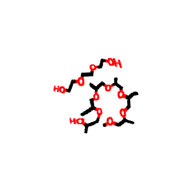 COCC(C)OCC(C)OCC(C)OCC(C)OCC(C)OCC(C)O.OCCOCCOCCO